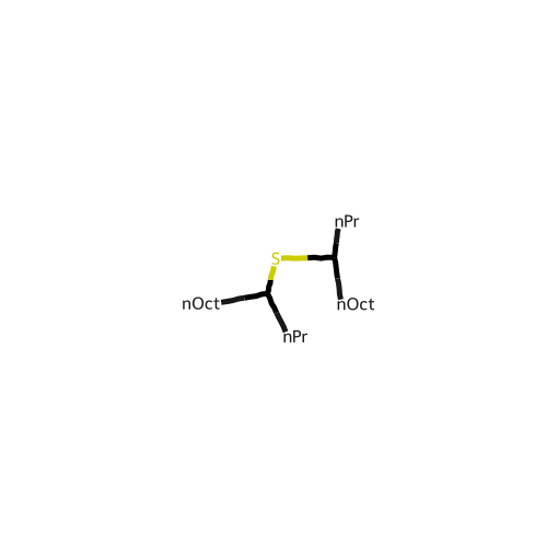 CCCCCCCCC(CCC)SC(CCC)CCCCCCCC